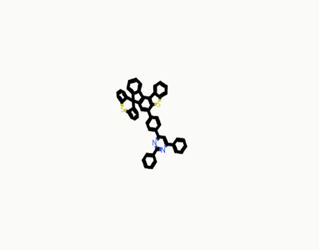 c1ccc(-c2cc(-c3ccc(-c4cc5c(c6c4sc4ccccc46)-c4ccccc4C54c5ccccc5Sc5ccccc54)cc3)nc(-c3ccccc3)n2)cc1